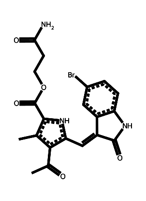 CC(=O)c1c(C=C2C(=O)Nc3ccc(Br)cc32)[nH]c(C(=O)OCCC(N)=O)c1C